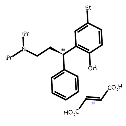 CCc1ccc(O)c([C@H](CCN(C(C)C)C(C)C)c2ccccc2)c1.O=C(O)/C=C/C(=O)O